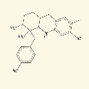 [C-]#[N+]c1cc2c(cc1C)CC1CCC(O)C(O)(Cc3ccc(C#N)cc3)C1N2